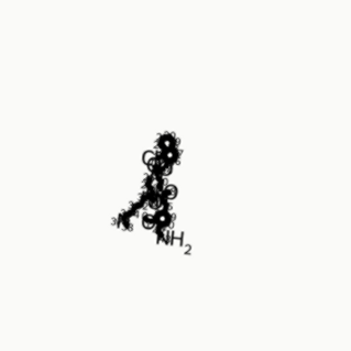 COc1cc(CNC(=O)[C@@H]2CN(C(=O)Oc3ccc4ccccc4c3Cl)CCN2C(=O)CCCCCN(C)C)ccc1CN